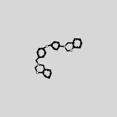 c1ccc2c(c1)CN(Cc1ccc(Cc3ccc(N4COc5ccccc5C4)cc3)cc1)CO2